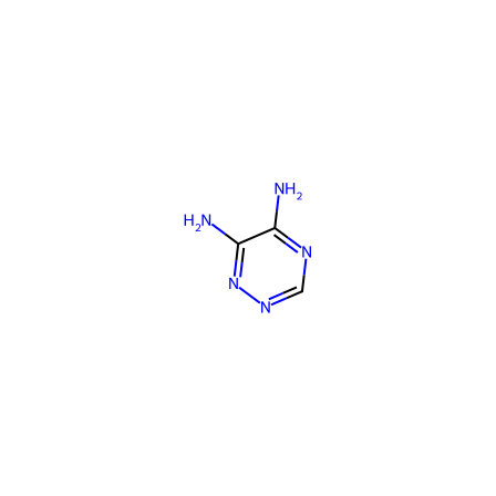 Nc1ncnnc1N